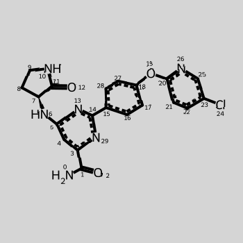 NC(=O)c1cc(N[C@H]2CCNC2=O)nc(-c2ccc(Oc3ccc(Cl)cn3)cc2)n1